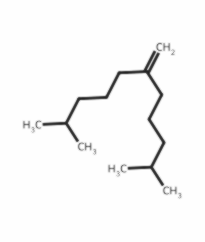 C=C(CCCC(C)C)CCCC(C)C